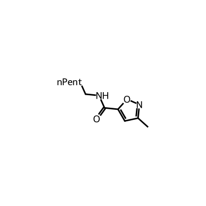 CCCCCCNC(=O)c1cc(C)no1